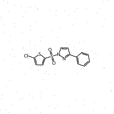 O=S(=O)(c1ccc(Cl)s1)n1ccc(-c2ccccc2)n1